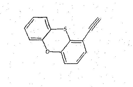 [C]#Cc1[c]ccc2c1Sc1ccccc1O2